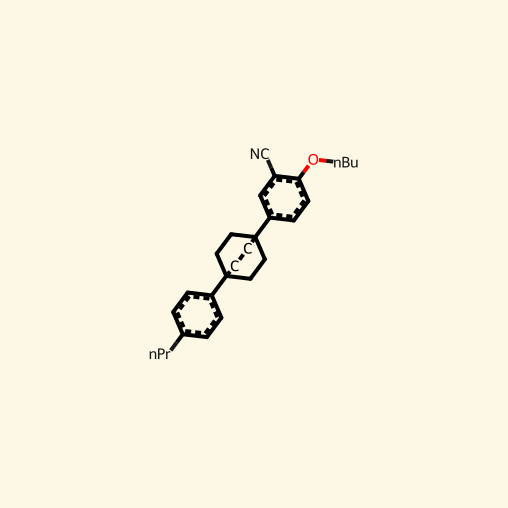 CCCCOc1ccc(C23CCC(c4ccc(CCC)cc4)(CC2)CC3)cc1C#N